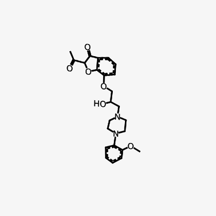 COc1ccccc1N1CCN(CC(O)COc2cccc3c2OC(C(C)=O)C3=O)CC1